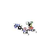 CN(CCc1ccc(C2=NCCN2)cc1)C(=O)CCCN(C)S(=O)(=O)c1cc(Cl)c(Cl)s1